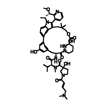 CCn1c(-c2cccnc2[C@H](C)OC)c2c3cc(ccc31)-c1cc(O)cc(c1)C[C@H](NC(=O)[C@H](C(C)C)N(C)C(=O)C1(O)CCN(C(=O)/C=C/CN(C)C)C1)C(=O)N1CCC[C@@](O)(N1)C(=O)OCC(C)(C)C2